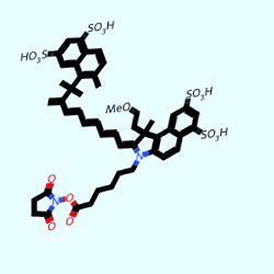 C=C(/C=C/C=C/C=C/C=C1/N(CCCCCC(=O)ON2C(=O)CCC2=O)c2ccc3c(S(=O)(=O)O)cc(S(=O)(=O)O)cc3c2C1(C)CCOC)C(C)(C)c1c(C)ccc2c(S(=O)(=O)O)cc(S(=O)(=O)O)cc12